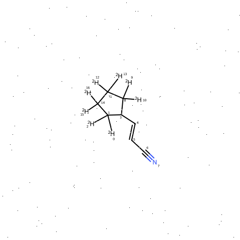 [2H]C1([2H])C(/C=C/C#N)C([2H])([2H])C([2H])([2H])C1([2H])[2H]